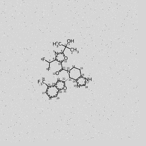 CC(C)(O)c1nc(C(F)F)c(C(=O)N2CCc3[nH]cnc3[C@@H]2c2cc3c(C(F)(F)F)cccc3o2)o1